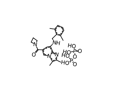 Cc1cccc(C)c1CNc1cc(C(=O)N2CCC2)cn2c(C)c(C)nc12.O=P(O)(O)OP(=O)(O)O